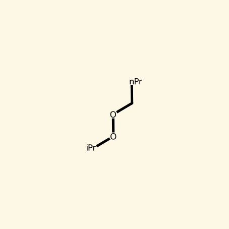 CCCCOOC(C)C